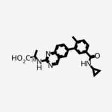 Cc1ccc(C(=O)NC2CC2)cc1-c1ccc2nc(N[C@H](C)C(=O)O)ncc2c1